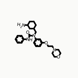 NC1CCCC(CN(C(=O)Nc2ccccc2)c2cccc(OCCN3CCOCC3)c2)C1